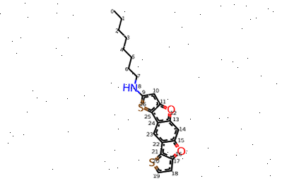 CCCCCCCCNc1cc2oc3cc4oc5ccsc5c4cc3c2s1